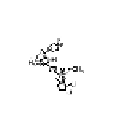 CCCS(=O)(=O)N(Cc1ccc(Cl)c(Cl)c1)C12CC(C3=NC(C)(C)[C@H](C(=O)N4CCC(F)(F)CC4)N3)(C1)C2